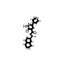 C[C@@H](CC(=O)c1cc(-c2ccncc2)n[nH]c1=O)c1ccc2ccccc2c1